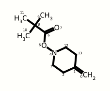 C=C1CCN(OC(=O)C(C)(C)C)CC1